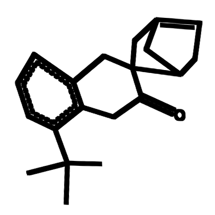 CC(C)(C)c1cccc2c1CC(=O)C1(CC3=CCC1C3)C2